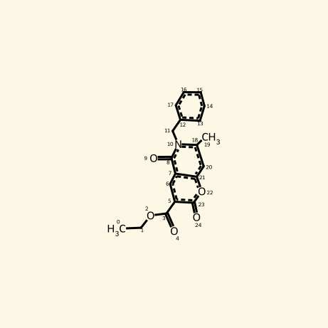 CCOC(=O)c1cc2c(=O)n(Cc3ccccc3)c(C)cc2oc1=O